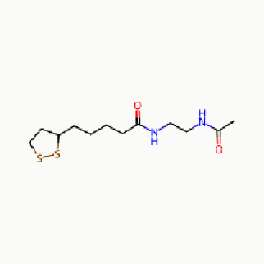 CC(=O)NCCNC(=O)CCCCC1CCSS1